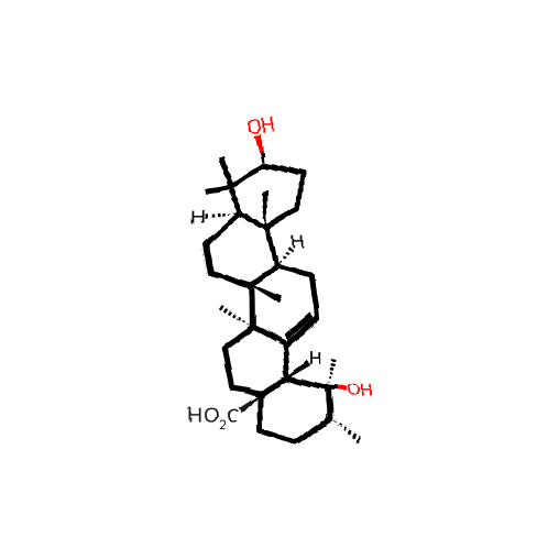 C[C@@H]1CC[C@]2(C(=O)O)CC[C@]3(C)C(=CC[C@@H]4[C@@]5(C)CC[C@H](O)C(C)(C)[C@@H]5CC[C@]43C)[C@@H]2[C@@]1(C)O